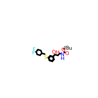 CC(C)(C)OC(=O)NCCC(O)c1cccc(SCC2CCC(F)(F)CC2)c1